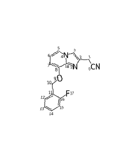 N#CCc1cn2cccc(OCc3ccccc3F)c2n1